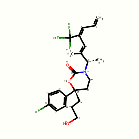 C=C/C=C(\C=C(/C)[C@H](C)N1CC[C@](CCCO)(c2ccc(F)cc2)OC1=O)C(F)(F)F